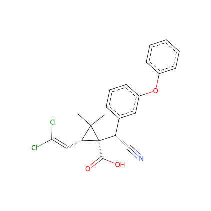 CC1(C)[C@@H](C=C(Cl)Cl)[C@]1(C(=O)O)[C@@H](C#N)c1cccc(Oc2ccccc2)c1